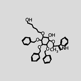 CC(OC1C(O)C(OCCCCCO)C(OCc2ccccc2)C(OCc2ccccc2)C1OCc1ccccc1)c1c[nH]c2ccccc12